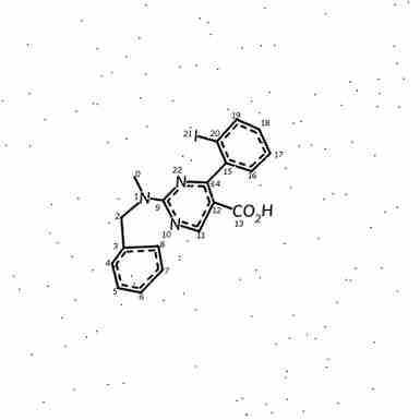 CN(Cc1ccccc1)c1ncc(C(=O)O)c(-c2ccccc2I)n1